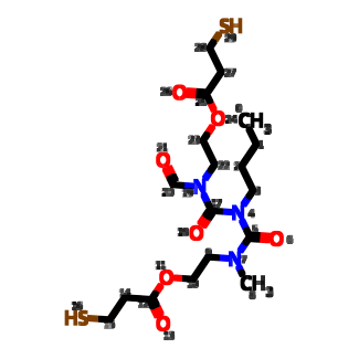 CCCCN(C(=O)N(C)CCOC(=O)CCS)C(=O)N(C=O)CCOC(=O)CCS